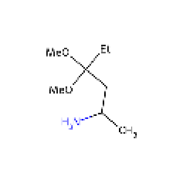 CCC(CC(C)N)(OC)OC